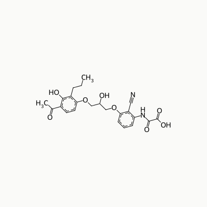 CCCc1c(OCC(O)COc2cccc(NC(=O)C(=O)O)c2C#N)ccc(C(C)=O)c1O